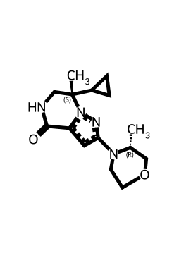 C[C@@H]1COCCN1c1cc2n(n1)[C@@](C)(C1CC1)CNC2=O